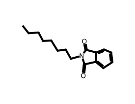 CCCCCCCCN1C(=O)c2ccccc2C1=O